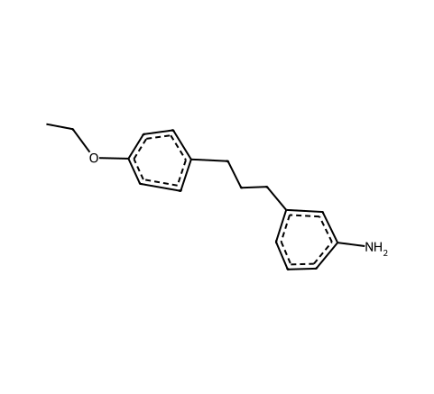 CCOc1ccc(CCCc2cccc(N)c2)cc1